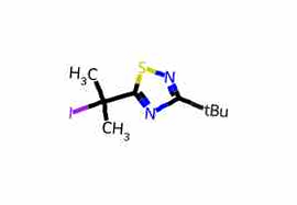 CC(C)(C)c1nsc(C(C)(C)I)n1